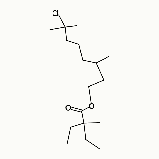 CCC(C)(CC)C(=O)OCCC(C)CCCC(C)(C)Cl